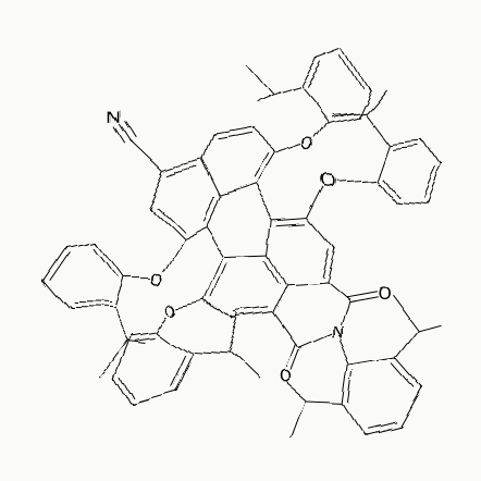 CC(C)c1ccccc1Oc1ccc2c(C#N)cc(Oc3ccccc3C(C)C)c3c4c(Oc5ccccc5C(C)C)cc5c6c(cc(Oc7ccccc7C(C)C)c(c1c23)c64)C(=O)N(c1c(C(C)C)cccc1C(C)C)C5=O